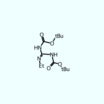 CCN=C(NC(=O)OC(C)(C)C)NC(=O)OC(C)(C)C